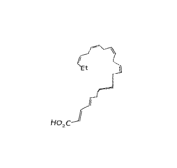 CC/C=C\C/C=C\C/C=C\C/C=C\CCCCC=CC=CC(=O)O